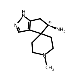 CN1CCC2(CC1)c1cn[nH]c1C[C@H]2N